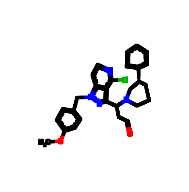 COc1ccc(Cn2nc(C(CC=O)N3CCC[C@H](c4ccccc4)C3)c3c(Cl)nccc32)cc1